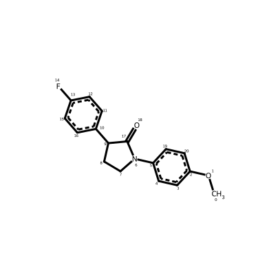 COc1ccc(N2CCC(c3ccc(F)cc3)C2=O)cc1